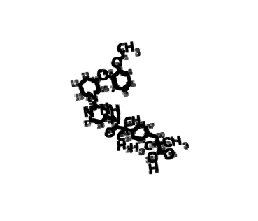 CCOc1ccccc1OC1CCCN(c2nccc(NC(=O)C(C)(C)c3ccc(CC(C)(C)C(=O)O)cc3)n2)C1